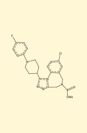 COC(=O)N1Cc2cc(Cl)ccc2-n2c(nnc2C2CCN(c3ccc(F)cc3)CC2)C1